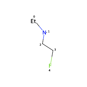 CC[N]CCF